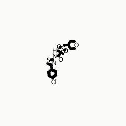 CC(C)(C(=O)Nc1nc(-c2ccc(Cl)cc2)cs1)S(=O)(=O)CC1CCOCC1